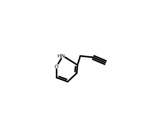 C#CCC1=CC=CON1